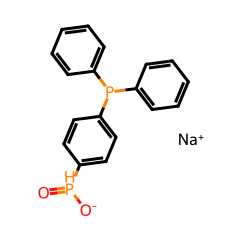 O=[PH]([O-])c1ccc(P(c2ccccc2)c2ccccc2)cc1.[Na+]